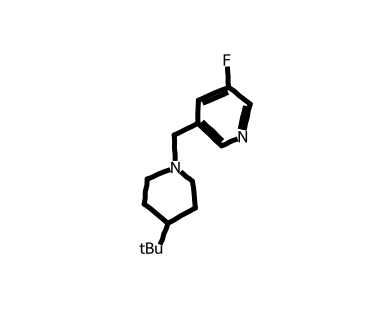 CC(C)(C)C1CCN(Cc2cncc(F)c2)CC1